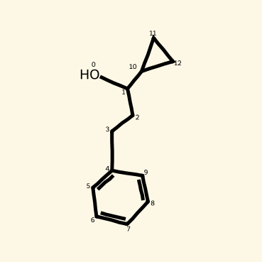 OC(CCc1ccccc1)C1CC1